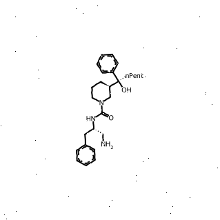 CCCCC[C@@](O)(c1ccccc1)[C@@H]1CCCN(C(=O)N[C@H](CN)Cc2ccccc2)C1